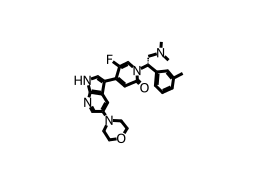 Cc1cccc([C@@H](CN(C)C)n2cc(F)c(-c3c[nH]c4ncc(N5CCOCC5)cc34)cc2=O)c1